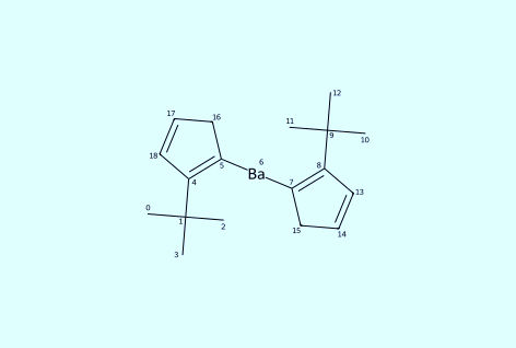 CC(C)(C)C1=[C]([Ba][C]2=C(C(C)(C)C)C=CC2)CC=C1